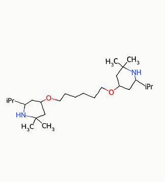 CC(C)C1CC(OCCCCCCOC2CC(C(C)C)NC(C)(C)C2)CC(C)(C)N1